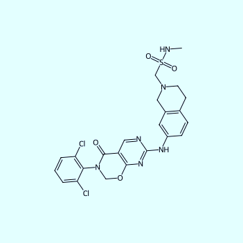 CNS(=O)(=O)CN1CCc2ccc(Nc3ncc4c(n3)OCN(c3c(Cl)cccc3Cl)C4=O)cc2C1